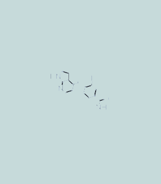 NC(=O)c1ccc(Oc2ccnc3[nH]ccc23)c(F)c1